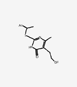 CC(=O)C(C)Sc1nc(C)c(CCO)c(=O)[nH]1